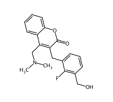 CN(C)Cc1c(Cc2cccc(CO)c2F)c(=O)oc2c[c]ccc12